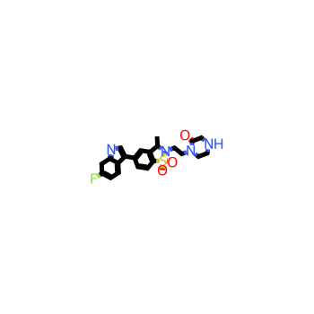 CC1c2cc(C3=CN=C4CC(F)=CC=C34)ccc2S(=O)(=O)N1CCN1CCNCC1=O